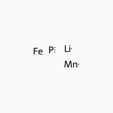 [Fe].[Li].[Mn].[P]